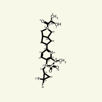 C[C@@H](O)C(=O)N1CC2CC(c3ccc4c(n3)N(C)S(=O)(=O)N4CC3CC3(F)F)CC2C1